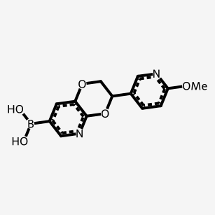 COc1ccc(C2COc3cc(B(O)O)cnc3O2)cn1